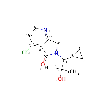 CC(C)(O)C(C1CC1)N1Cc2nccc(Cl)c2C1=O